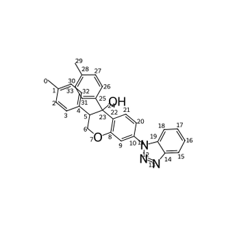 Cc1ccc(C2COc3cc(-n4nnc5ccccc54)ccc3C2(O)c2ccc(C)cc2)cc1